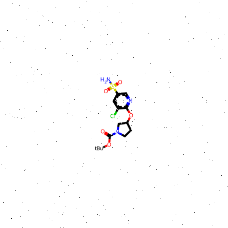 CC(C)(C)OC(=O)N1CCC(Oc2ncc(S(N)(=O)=O)cc2Cl)C1